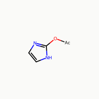 CC(=O)Oc1ncc[nH]1